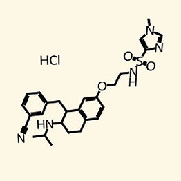 CC(C)NC1CCc2ccc(OCCNS(=O)(=O)c3cn(C)cn3)cc2C1Cc1cccc(C#N)c1.Cl